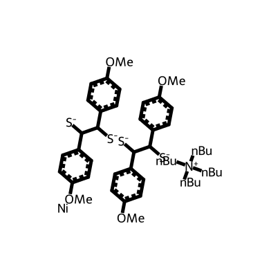 CCCC[N+](CCCC)(CCCC)CCCC.COc1ccc(C([S-])C([S-])c2ccc(OC)cc2)cc1.COc1ccc(C([S-])C([S-])c2ccc(OC)cc2)cc1.[Ni]